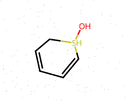 O[SH]1C=CC=CC1